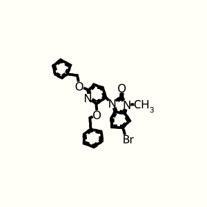 Cn1c(=O)n(-c2ccc(OCc3ccccc3)nc2OCc2ccccc2)c2ccc(Br)cc21